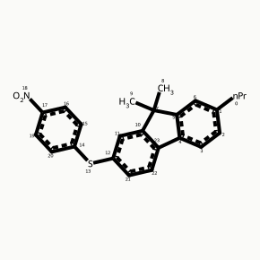 CCCc1ccc2c(c1)C(C)(C)c1cc(Sc3ccc([N+](=O)[O-])cc3)ccc1-2